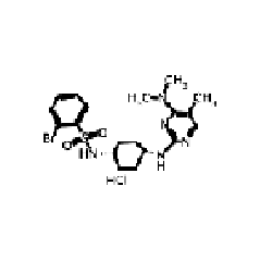 Cc1cnc(N[C@H]2CC[C@@H](NS(=O)(=O)c3ccccc3Br)CC2)nc1N(C)C.Cl